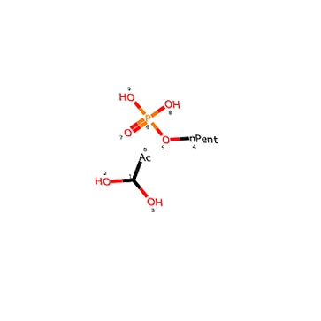 CC(=O)C(O)O.CCCCCOP(=O)(O)O